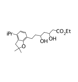 CCOC(=O)CC(O)CC(O)CCc1ccc(C(C)C)c2c1OC(C)(C)C2